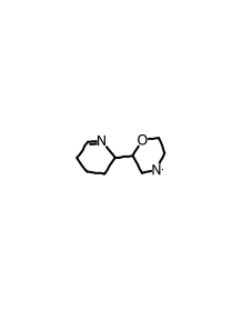 C1=NC(C2C[N]CCO2)CCC1